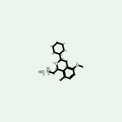 COc1ccc(C)c2c1CC(C1CCCCC1)OC2CN.Cl